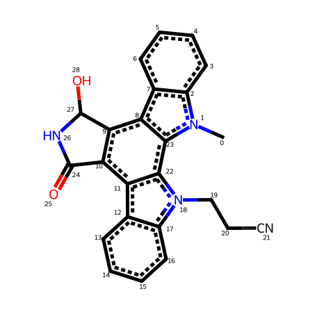 Cn1c2ccccc2c2c3c(c4c5ccccc5n(CCC#N)c4c21)C(=O)NC3O